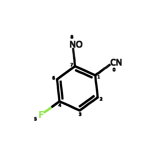 N#Cc1ccc(F)cc1N=O